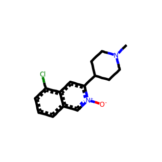 CN1CCC(c2cc3c(Cl)cccc3c[n+]2[O-])CC1